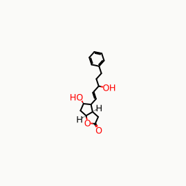 O=C1C[C@@H]2C(/C=C/C(O)CCc3ccccc3)[C@H](O)C[C@@H]2O1